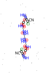 N#Cc1cc(Cl)cc2c1C[C@H](N1CCNCC1)[C@H]2Oc1ccc(S(=O)(=O)NC(=O)CCCNC(=O)NCCCCNC(=O)NCCCC(=O)NS(=O)(=O)c2ccc(O[C@H]3c4cc(Cl)cc(C#N)c4C[C@@H]3N3CCNCC3)cc2)cc1